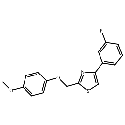 COc1ccc(OCc2nc(-c3cccc(F)c3)cs2)cc1